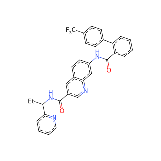 CCC(NC(=O)c1cnc2cc(NC(=O)c3ccccc3-c3ccc(C(F)(F)F)cc3)ccc2c1)c1ccccn1